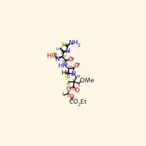 CCOC(=O)OC(C)OC(=O)C1(COC)CS[C@@H]2C(NC(=O)C(=NO)c3csc(N)n3)C(=O)N2C1